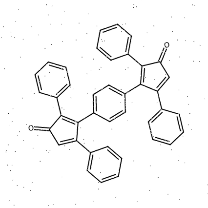 O=C1C=C(c2ccccc2)C(c2ccc(C3=C(c4ccccc4)C(=O)C=C3c3ccccc3)cc2)=C1c1ccccc1